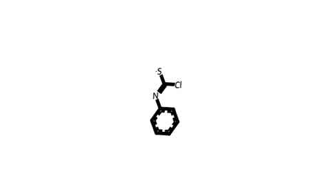 [S]C(Cl)=Nc1ccccc1